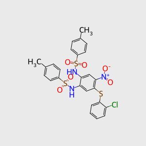 Cc1ccc(S(=O)(=O)Nc2cc(Sc3ccccc3Cl)c([N+](=O)[O-])cc2NS(=O)(=O)c2ccc(C)cc2)cc1